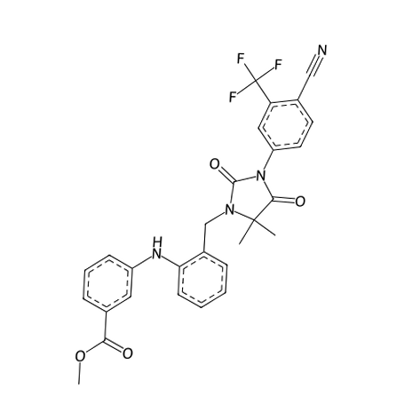 COC(=O)c1cccc(Nc2ccccc2CN2C(=O)N(c3ccc(C#N)c(C(F)(F)F)c3)C(=O)C2(C)C)c1